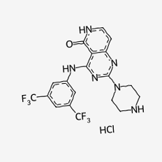 Cl.O=c1[nH]ccc2nc(N3CCNCC3)nc(Nc3cc(C(F)(F)F)cc(C(F)(F)F)c3)c12